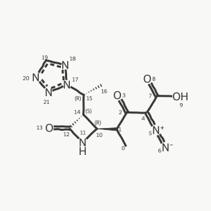 CC(C(=O)C(=[N+]=[N-])C(=O)O)[C@H]1NC(=O)[C@@H]1[C@@H](C)n1ncnn1